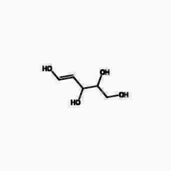 OC=CC(O)C(O)CO